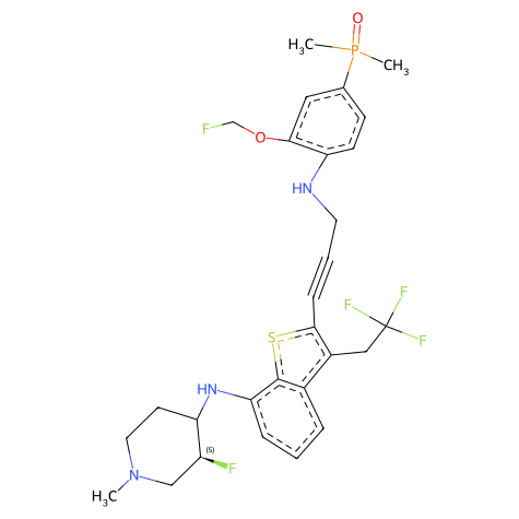 CN1CCC(Nc2cccc3c(CC(F)(F)F)c(C#CCNc4ccc(P(C)(C)=O)cc4OCF)sc23)[C@@H](F)C1